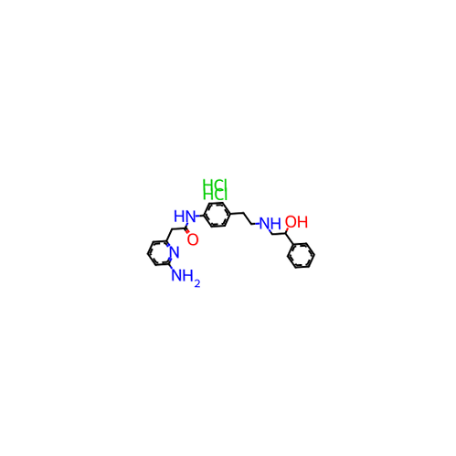 Cl.Cl.Nc1cccc(CC(=O)Nc2ccc(CCNCC(O)c3ccccc3)cc2)n1